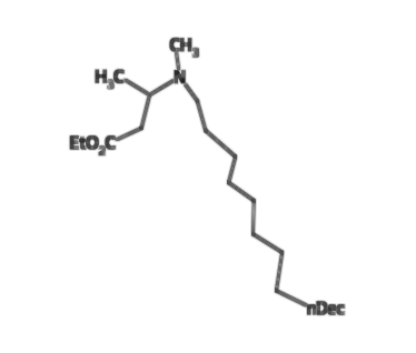 CCCCCCCCCCCCCCCCCCN(C)C(C)CC(=O)OCC